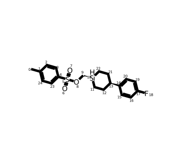 Cc1ccc(S(=O)(=O)OC[Si@H]2CC[C@H](c3ccc(F)cc3)CC2)cc1